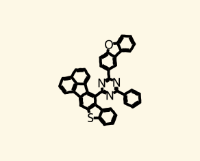 c1ccc(-c2nc(-c3ccc4oc5ccccc5c4c3)nc(-c3c4c(cc5sc6ccccc6c35)-c3cccc5cccc-4c35)n2)cc1